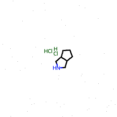 C1CC2CNCC2C1.Cl.Cl